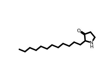 CCCCCCCCCCCCC1NCCC1=O